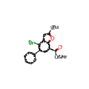 COC(=O)c1cc(-c2ccccc2)c(Br)c2cc(C(C)(C)C)oc12